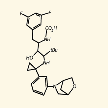 CC(C)(C)C(NC1(c2cccc(N3CC4CC3CO4)c2)CC1)C(O)C(Cc1cc(F)cc(F)c1)NC(=O)O